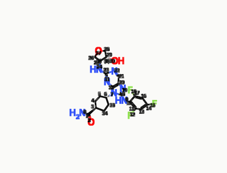 NC(=O)[C@H]1CC[C@H](n2c(Nc3c(F)cc(F)cc3F)nc3cnc(N[C@H]4COC[C@@H]4O)nc32)CC1